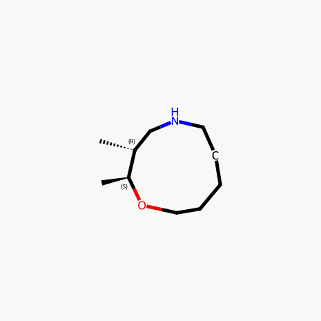 C[C@@H]1CNCCCCCO[C@H]1C